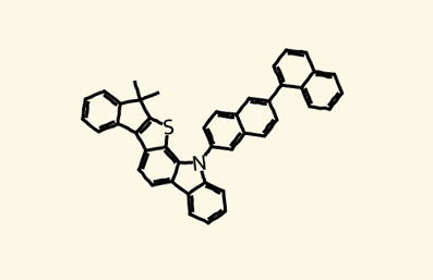 CC1(C)c2ccccc2-c2c1sc1c2ccc2c3ccccc3n(-c3ccc4cc(-c5cccc6ccccc56)ccc4c3)c21